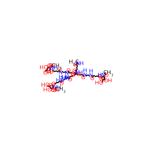 CNC(=O)CCCC(=O)NC(COCCC(=O)NCCCNC(=O)CCCCO[C@@H]1OC(CO)C(O)=C[C@@H]1NC(C)=O)(COCCC(=O)NCCCNC(=O)CCCCO[C@@H]1OC(CO)[C@H](O)C(O)[C@@H]1NC(C)=O)COCCC(=O)NCCCNC(=O)CCCCO[C@@H]1OC(CO)[C@H](O)C(O)[C@@H]1NC(C)=O